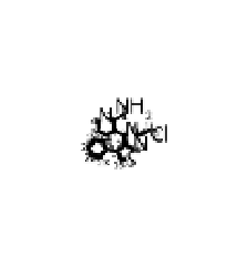 NCc1ncccc1-c1nc(CCl)nc2scc(-c3ccccc3)c12